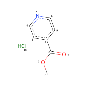 COC(=O)c1ccncc1.Cl